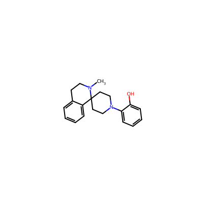 CN1CCc2ccccc2C12CCN(c1ccccc1O)CC2